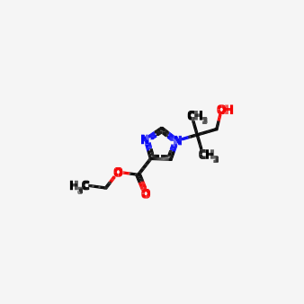 CCOC(=O)c1cn(C(C)(C)CO)cn1